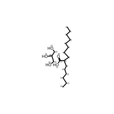 CCCCCCCCC(CCCCCC)C(=O)O.OCC(O)CO